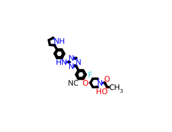 CC(O)C(=O)N1CC[C@H](Oc2ccc(-c3ncnc(Nc4ccc(C5CCCN5)cc4)n3)cc2C#N)[C@H](F)C1